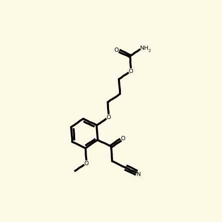 COc1cccc(OCCCOC(N)=O)c1C(=O)CC#N